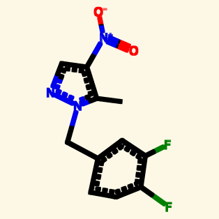 Cc1c([N+](=O)[O-])cnn1Cc1ccc(F)c(F)c1